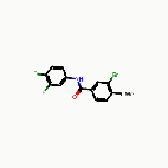 COc1ccc(C(=O)Nc2ccc(F)c(F)c2)cc1Br